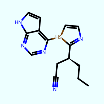 CCC[C@@H](CC#N)C1=NC=C[SH]1c1ncnc2[nH]ccc12